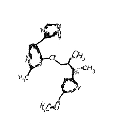 COc1ccc([C@@H](C)C(C)COc2nc(C)ncc2-c2ncno2)nc1